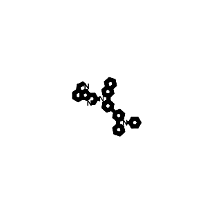 c1ccc(-n2c3ccccc3c3cc(-c4ccc5c(c4)c4cc6ccccc6cc4n5-c4cnc5c(c4)-c4nccc6cccc-5c46)ccc32)cc1